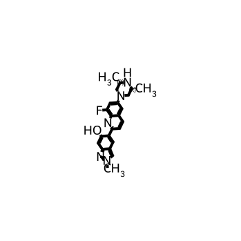 C[C@@H]1CN(c2cc(F)c3nc(-c4cc5cn(C)nc5cc4O)ccc3c2)C[C@@H](C)N1